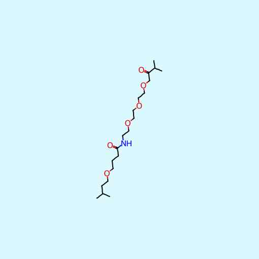 CC(C)CCOCCCC(=O)NCCOCCOCCOCC(=O)C(C)C